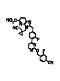 N#CCC1(Cn2c(Cc3ccc(-c4ccnc(OCc5ccc(C#N)cc5F)n4)c(F)c3)nc3ccc(C(=O)O)nc32)CC1